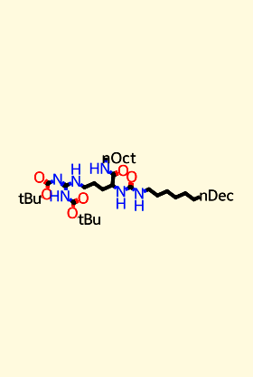 CCCCCCCCCCCCCCCCNC(=O)NC(CCCNC(=NC(=O)OC(C)(C)C)NC(=O)OC(C)(C)C)C(=O)NCCCCCCCC